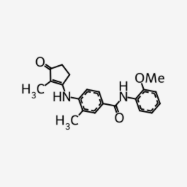 COc1ccccc1NC(=O)c1ccc(NC2=C(C)C(=O)CC2)c(C)c1